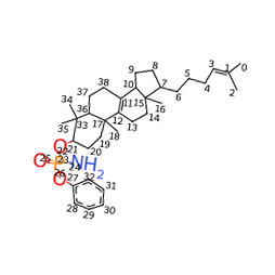 CC(C)=CCCCC1CCC2C3=C(CCC12C)C1(C)CCC(OP(N)(=O)Oc2ccccc2)C(C)(C)C1CC3